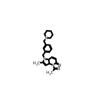 CC1=CC2C(C=Cc3nnc(C)n32)N1Cc1cccc(CN2CCCCC2)c1